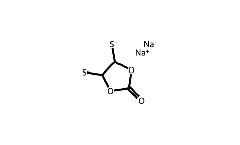 O=C1OC([S-])C([S-])O1.[Na+].[Na+]